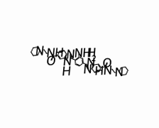 Nc1cc(-c2nc3ccc(C(=O)NCCN4CCCCC4)cc3[nH]2)ccc1-c1nc2ccc(C(=O)NCCN3CCCCC3)cc2[nH]1